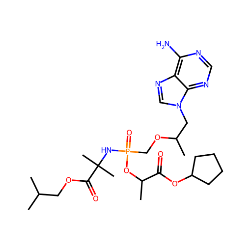 CC(C)COC(=O)C(C)(C)NP(=O)(COC(C)Cn1cnc2c(N)ncnc21)OC(C)C(=O)OC1CCCC1